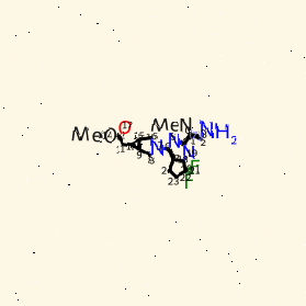 CN/C(=C\N)c1nc(N2CC3C(CC(=O)OC)C3C2)c2c(n1)C(F)(F)CC2